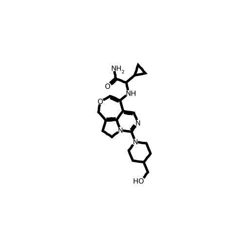 NC(=O)C(NC1=COCC2=C3C1=CN=C(N1CCC(CO)CC1)N3CC2)C1CC1